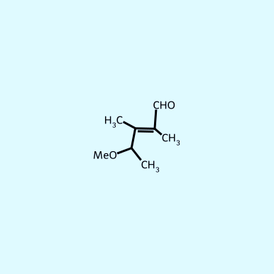 COC(C)/C(C)=C(\C)C=O